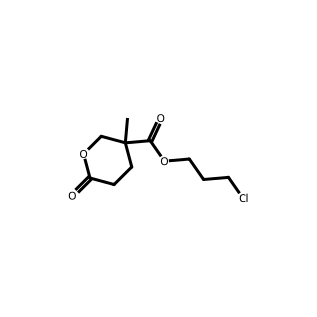 CC1(C(=O)OCCCCl)CCC(=O)OC1